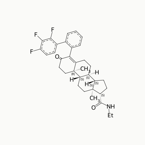 CCNC(=O)[C@H]1CC[C@H]2[C@@H]3CCC4=C(c5ccccc5-c5ccc(F)c(F)c5F)C(=O)CC[C@]4(C)[C@H]3CC[C@]12C